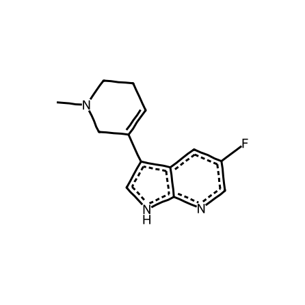 CN1CCC=C(c2c[nH]c3ncc(F)cc23)C1